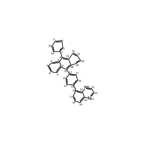 c1ccc(-c2c3ccccc3c(-c3ccc(-c4cccc5nccnc45)cc3)c3ccccc23)cc1